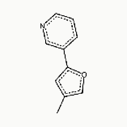 Cc1coc(-c2cccnc2)c1